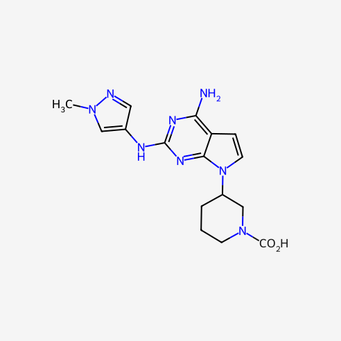 Cn1cc(Nc2nc(N)c3ccn(C4CCCN(C(=O)O)C4)c3n2)cn1